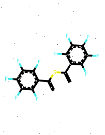 C=C(SC(=C)c1c(F)c(F)c(F)c(F)c1F)c1c(F)c(F)c(F)c(F)c1F